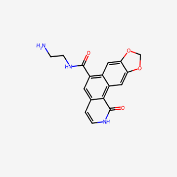 NCCNC(=O)c1cc2cc[nH]c(=O)c2c2cc3c(cc12)OCO3